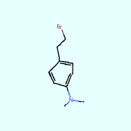 CN(C)c1ccc(CCBr)cc1